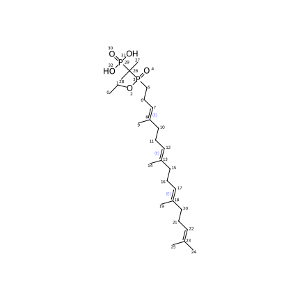 CCOP(=O)(CC/C=C(\C)CC/C=C(\C)CC/C=C(\C)CCC=C(C)C)C(C)(C)P(=O)(O)O